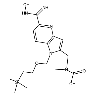 CN(Cc1cc2nc(C(=N)NO)ccc2n1COCC[Si](C)(C)C)C(=O)O